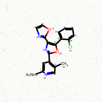 CC(=O)Nc1cc(-c2nc(-c3ncco3)c(-c3ccccc3Cl)o2)c(C)cn1